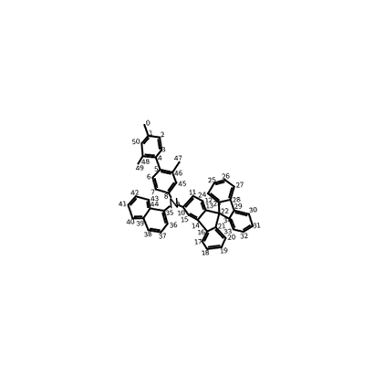 Cc1ccc(-c2ccc(N(c3ccc4c(c3)-c3ccccc3C43c4ccccc4-c4ccccc43)c3cccc4ccccc34)cc2C)c(C)c1